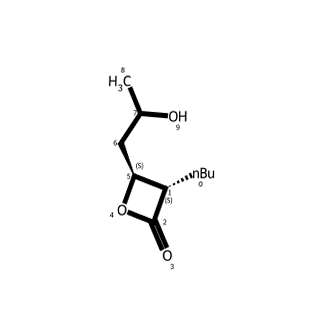 CCCC[C@@H]1C(=O)O[C@H]1CC(C)O